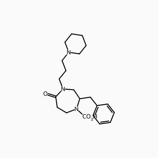 O=C1CCN(C(=O)O)C(Cc2ccccc2)CN1CCCN1CCCCC1